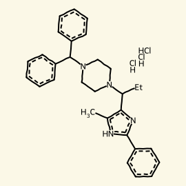 CCC(c1nc(-c2ccccc2)[nH]c1C)N1CCN(C(c2ccccc2)c2ccccc2)CC1.Cl.Cl.Cl